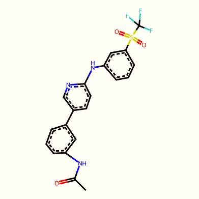 CC(=O)Nc1cccc(-c2ccc(Nc3cccc(S(=O)(=O)C(F)(F)F)c3)nc2)c1